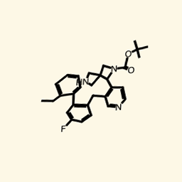 CCc1ccccc1-c1cc(F)ccc1Cc1cnccc1C1N(C(=O)OC(C)(C)C)CC12CNC2